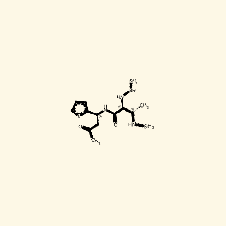 BBN[C@H](C(=O)N[C@@H](CC(C)=O)c1cccs1)[C@H](C)NB